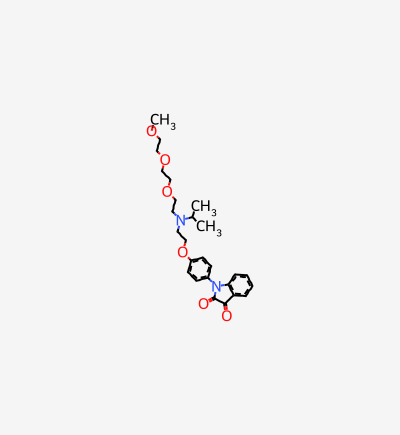 COCCOCCOCCN(CCOc1ccc(N2C(=O)C(=O)c3ccccc32)cc1)C(C)C